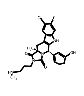 CNCCCN1C(=O)N2[C@H](C3=CCCC(O)=C3)c3[nH]c4cc(F)c(Cl)cc4c3C[C@@]2(C)C1=O